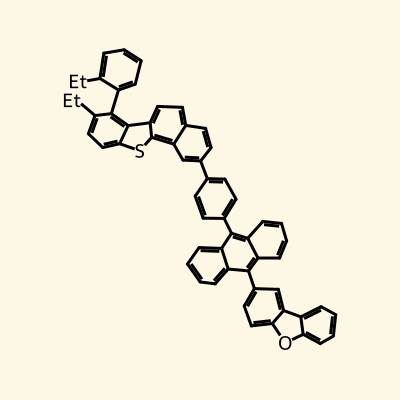 CCc1ccccc1-c1c(CC)ccc2sc3c4cc(-c5ccc(-c6c7ccccc7c(-c7ccc8oc9ccccc9c8c7)c7ccccc67)cc5)ccc4ccc3c12